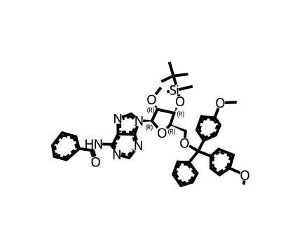 COc1ccc(C(OC[C@H]2O[C@@H](n3cnc4c(NC(=O)c5ccccc5)ncnc43)[C@H](OC)[C@@H]2O[Si](C)(C)C(C)(C)C)(c2ccccc2)c2ccc(OC)cc2)cc1